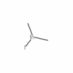 [CH3][In]([CH3])[I]